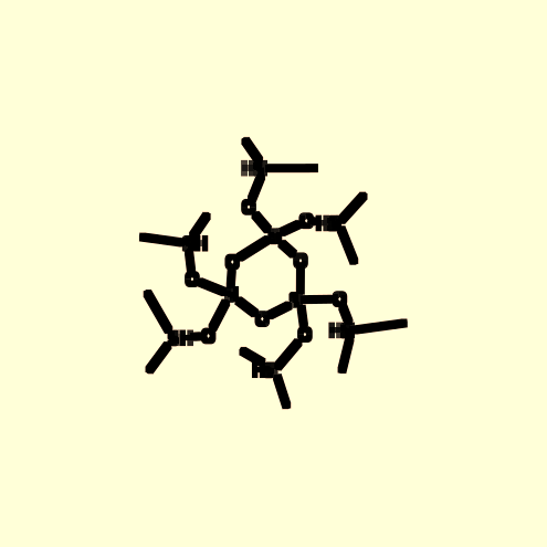 C[SiH](C)O[Si]1(O[SiH](C)C)O[Si](O[SiH](C)C)(O[SiH](C)C)O[Si](O[SiH](C)C)(O[SiH](C)C)O1